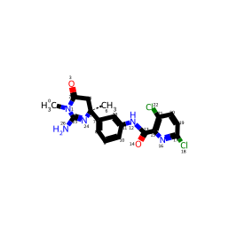 CN1C(=O)C[C@@](C)(c2cccc(NC(=O)c3nc(Cl)ccc3Cl)c2)N=C1N